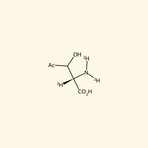 [2H]N([2H])[C@]([2H])(C(=O)O)C(O)C(C)=O